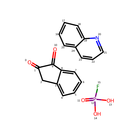 O=C1Cc2ccccc2C1=O.O=P(O)(O)F.c1ccc2ncccc2c1